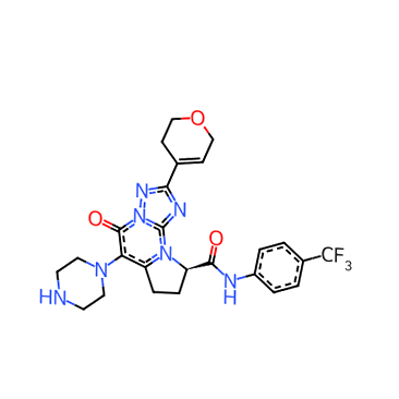 O=C(Nc1ccc(C(F)(F)F)cc1)[C@H]1CCc2c(N3CCNCC3)c(=O)n3nc(C4=CCOCC4)nc3n21